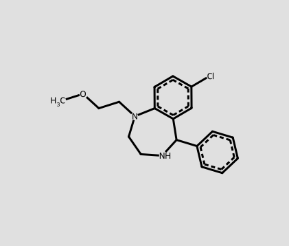 COCCN1CCNC(c2ccccc2)c2cc(Cl)ccc21